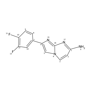 Nc1ccn2cc(-c3ccc(F)c(F)c3)nc2n1